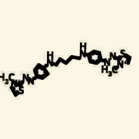 C[n+]1ccsc1/N=N/c1ccc(NCCCCCNc2ccc(/N=N/c3scc[n+]3C)cc2)cc1